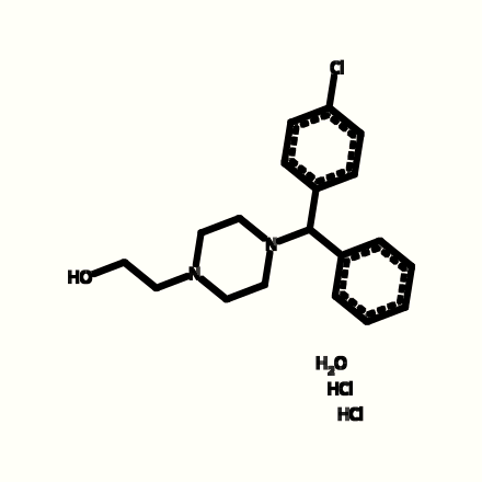 Cl.Cl.O.OCCN1CCN(C(c2ccccc2)c2ccc(Cl)cc2)CC1